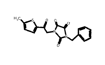 Cc1ccc(C(=O)CN2C(=O)C(=O)N(Cc3ccccc3)C2=O)s1